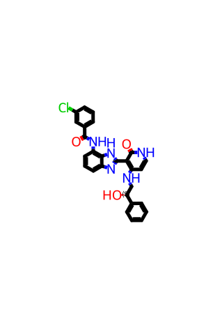 O=C(Nc1cccc2nc(-c3c(NC[C@@H](O)c4ccccc4)cc[nH]c3=O)[nH]c12)c1cccc(Cl)c1